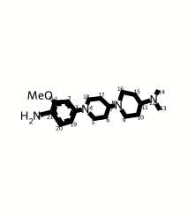 COc1cc(N2CCC(N3CCC(N(C)C)CC3)CC2)ccc1N